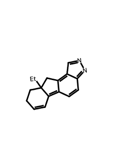 CCC12CCC=CC1=c1ccc3c(c1C2)C=NN=3